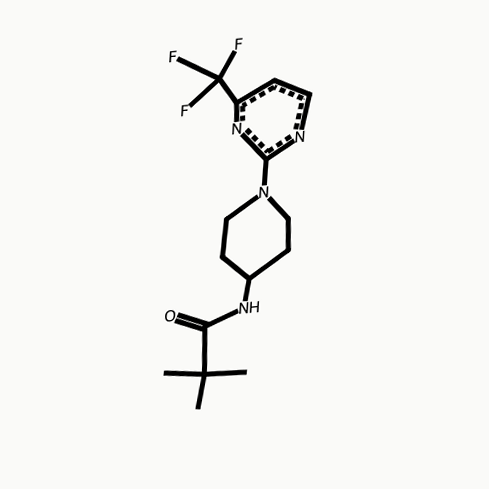 CC(C)(C)C(=O)NC1CCN(c2nccc(C(F)(F)F)n2)CC1